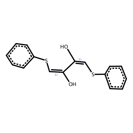 OC(=C/Sc1ccccc1)/C(O)=C\Sc1ccccc1